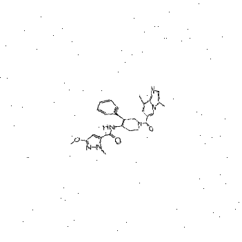 COc1cc(C(=O)N[C@@H]2CCN(C(=O)c3cc(C)c4ncc(C)n4c3)C[C@@H]2c2ccccc2)n(C)n1